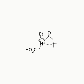 CCc1c2c(n(CC(=O)O)c1C)CC(C)(C)CC2=O